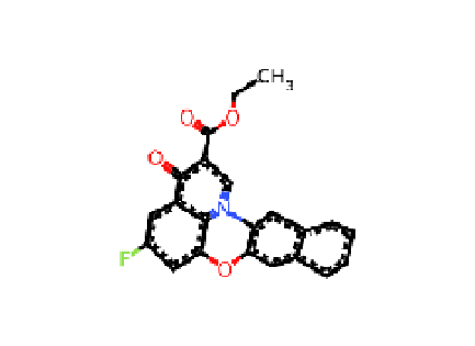 CCOC(=O)c1cn2c3c(cc(F)cc3c1=O)Oc1cc3ccccc3cc1-2